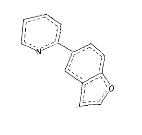 [c]1coc2ccc(-c3ccccn3)cc12